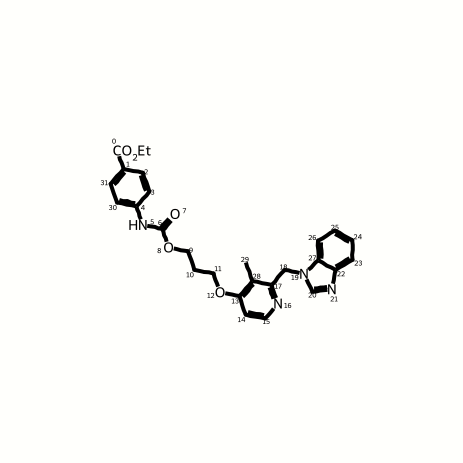 CCOC(=O)c1ccc(NC(=O)OCCCOc2ccnc(Cn3cnc4ccccc43)c2C)cc1